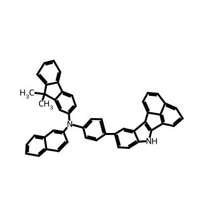 CC1(C)c2ccccc2-c2ccc(N(c3ccc(-c4ccc5[nH]c6c(c5c4)-c4cccc5cccc-6c45)cc3)c3ccc4ccccc4c3)cc21